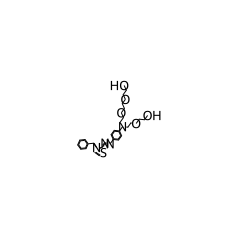 OCCOCCOCCN(CCOCCO)c1ccc(/N=N/c2scc[n+]2Cc2ccccc2)cc1